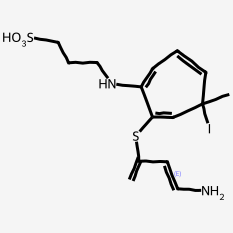 C=C(/C=C/N)SC1=CC(C)(I)C=CC=C1NCCCS(=O)(=O)O